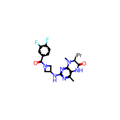 Cc1nc(NC2CN(C(=O)c3ccc(F)c(F)c3)C2)nc2c1NC(=O)C(C(C)C)N2C